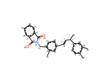 Cc1ccc(C(C)/C=C/c2ccc(CN3C(=O)c4ccccc4C3=O)c(C)c2)cc1C